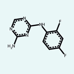 Nc1ncnc(Nc2ccc(F)cc2F)n1